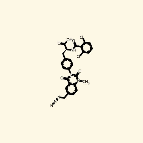 Cn1c(=O)n(-c2ccc(C[C@H](NC(=O)c3c(Cl)cccc3Cl)C(=O)O)cc2)c(=O)c2cc(CN=[N+]=[N-])ccc21